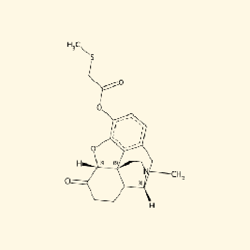 CSCC(=O)Oc1ccc2c3c1O[C@H]1C(=O)CCC4[C@@H](C2)N(C)CC[C@@]341